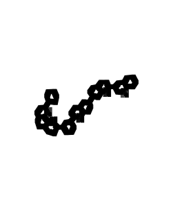 c1ccc(-c2ccc3ccc4ccc(-c5cccc(-c6ccc7cc(-c8ccc9ccc(-c%10cnc%11ccccc%11c%10)nc9c8)ccc7n6)c5)nc4c3n2)cc1